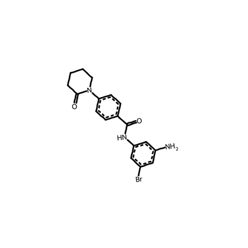 Nc1cc(Br)cc(NC(=O)c2ccc(N3CCCCC3=O)cc2)c1